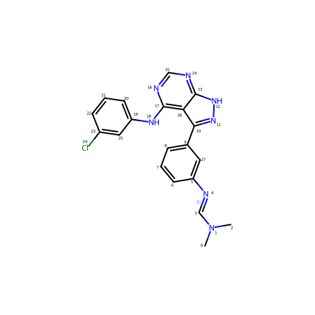 CN(C)/C=N/c1cccc(-c2n[nH]c3ncnc(Nc4cccc(Cl)c4)c23)c1